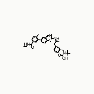 CCNC(=O)c1ccc(C)c(-c2ccc3nc(N[C@@H](C)Cc4cccc(CN(C(=O)O)C(C)(C)C)c4)ncc3c2)c1